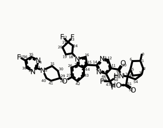 CC1CC2CC(C1)C(NC(=O)c1cnc(-c3cn(C4CCC(F)(F)C4)c4cc(OC5CCN(c6ncc(F)cn6)CC5)ccc34)nc1C(F)(F)F)(C(=O)O)C2